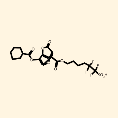 O=C1Oc2c(OC(=O)C3CCCCC3)c3oc2c1c3C(=O)OCCCCC(F)(F)C(F)(F)S(=O)(=O)O